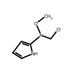 CON(CCl)c1ccc[nH]1